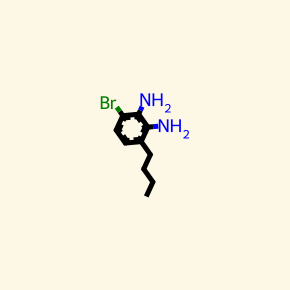 CCCCc1ccc(Br)c(N)c1N